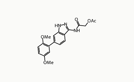 COc1ccc(OC)c(-c2ccc3c(NC(=O)COC(C)=O)n[nH]c3c2)c1